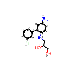 Nc1ccc(NCC(O)CO)c(-c2cccc(Cl)c2)c1